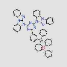 C1=CC2N=C3N(c4nc(-c5cccc([Si](c6ccccc6)(c6ccccc6)c6cccc7c6oc6ccccc67)c5)nc(-n5c6ccccc6n6c7ccccc7nc56)n4)c4ccccc4N3C2C=C1